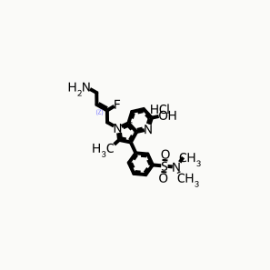 Cc1c(-c2cccc(S(=O)(=O)N(C)C)c2)c2nc(O)ccc2n1C/C(F)=C/CN.Cl